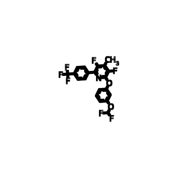 Cc1c(F)c(Oc2cccc(OC(F)F)c2)nc(-c2ccc(C(F)(F)F)cc2)c1F